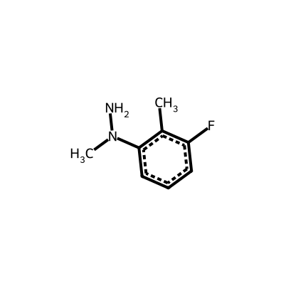 Cc1c(F)cccc1N(C)N